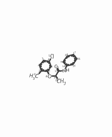 Cc1ccc(Cl)cc1OC(C)C(=O)Nc1ccccc1